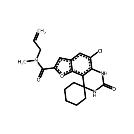 C=CCN(C)C(=O)c1cc2cc(Cl)c3c(c2o1)C1(CCCCC1)NC(=O)N3